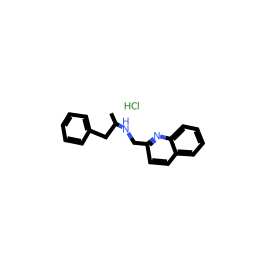 CC(Cc1ccccc1)NCc1ccc2ccccc2n1.Cl